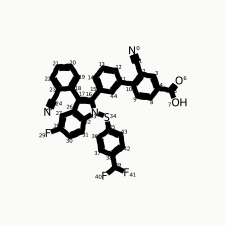 N#Cc1cc(C(=O)O)ccc1-c1cccc(-c2c(-c3ccccc3C#N)c3cc(F)ccc3n2Sc2ccc(C(F)F)cc2)c1